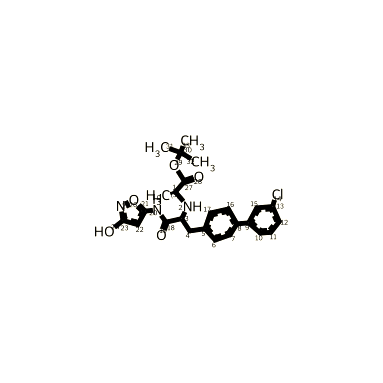 C[C@H](NC(Cc1ccc(-c2cccc(Cl)c2)cc1)C(=O)Nc1cc(O)no1)C(=O)OC(C)(C)C